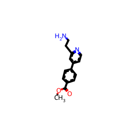 COC(=O)c1ccc(-c2ccnc(CCN)c2)cc1